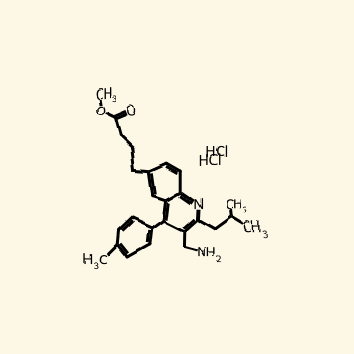 COC(=O)CCCc1ccc2nc(CC(C)C)c(CN)c(-c3ccc(C)cc3)c2c1.Cl.Cl